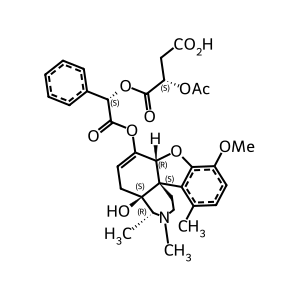 COc1ccc(C)c2c1O[C@H]1C(OC(=O)[C@@H](OC(=O)[C@H](CC(=O)O)OC(C)=O)c3ccccc3)=CC[C@@]3(O)[C@@H](C)N(C)CC[C@]213